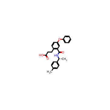 Cc1ccc([C@@H](C)NC(=O)c2cc(Oc3ccccc3)ccc2CCC(=O)O)cc1